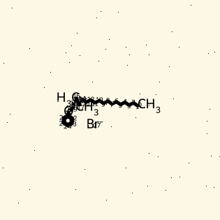 CCCCCCCCCCCCCCC[N+](C)(C)CCOc1ccccc1.[Br-]